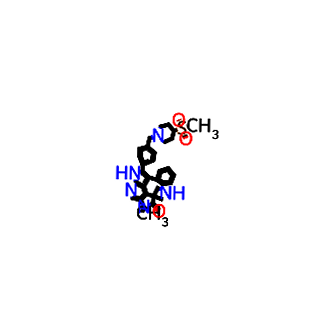 CN1C(=O)C2(CNC2)c2c1cnc1[nH]c(-c3ccc(CN4CCC(S(C)(=O)=O)CC4)cc3)c(-c3ccccc3)c21